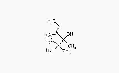 CN=C(N)C(C)(O)[Si](C)(C)C